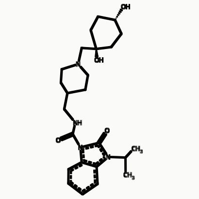 CC(C)n1c(=O)n(C(=O)NCC2CCN(C[C@]3(O)CC[C@H](O)CC3)CC2)c2ccccc21